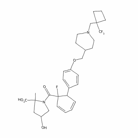 CC1(C(=O)O)CC(O)CN1C(=O)C1(F)C=CC=CC1c1ccc(OCC2CCN(CC3(C(F)(F)F)CCC3)CC2)cc1